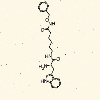 NC(Cc1c[nH]c2ccccc12)C(=O)NCCCCCC(=O)NOCc1ccccc1